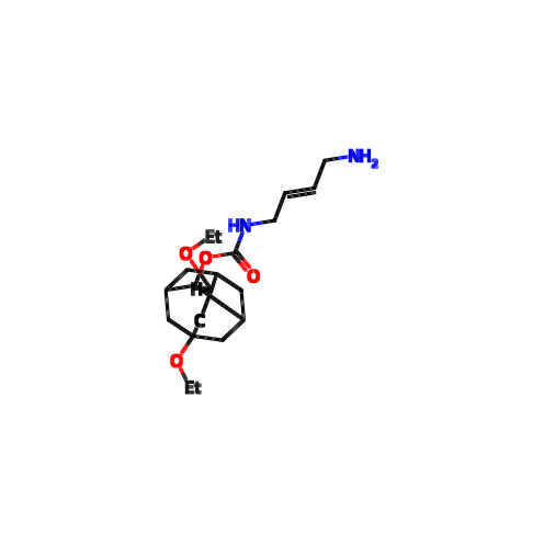 CCO[C@H]1CC2(OCC)CC3CC1CC(C2)C3OC(=O)NC/C=C/CN